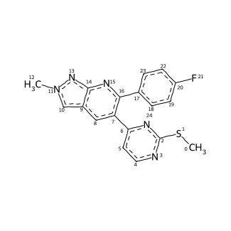 CSc1nccc(-c2cc3cn(C)nc3nc2-c2ccc(F)cc2)n1